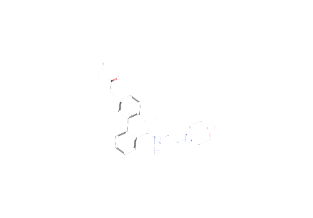 COC(=O)Cc1ccc(OC)c(-c2ccccc2CNCCN2CCOCC2)c1